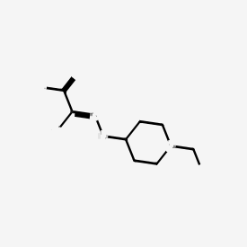 CCN1CCC(N/N=C(\Cl)C(=O)O)CC1